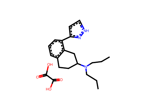 CCCN(CCC)C1CCc2cccc(-c3cc[nH]n3)c2C1.O=C(O)C(=O)O